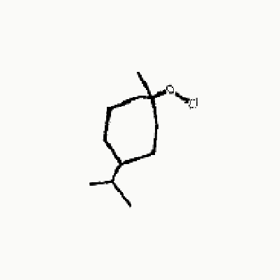 CC(C)C1CCC(C)(OCl)CC1